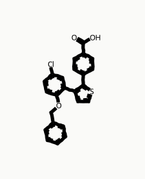 O=C(O)c1ccc(-c2sccc2-c2cc(Cl)ccc2OCc2ccccc2)cc1